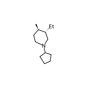 CC[C@@H]1CN(C2CCCC2)CC[C@H]1C